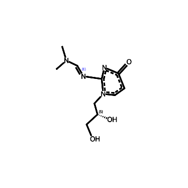 CN(C)/C=N/c1nc(=O)ccn1C[C@H](O)CO